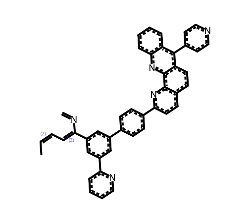 C=N/C(=C\C=C/C)c1cc(-c2ccc(-c3ccc4ccc5c(-c6ccncc6)c6ccccc6nc5c4n3)cc2)cc(-c2ccccn2)c1